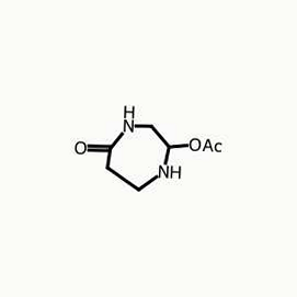 CC(=O)OC1CNC(=O)CCN1